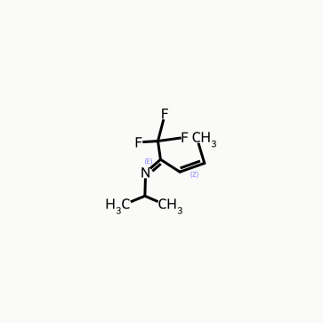 C/C=C\C(=N/C(C)C)C(F)(F)F